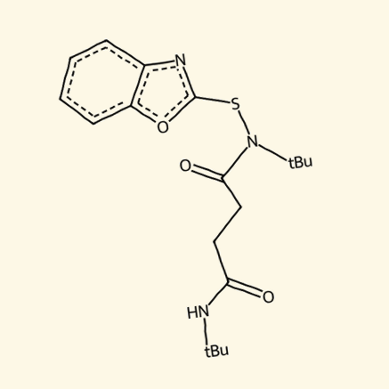 CC(C)(C)NC(=O)CCC(=O)N(Sc1nc2ccccc2o1)C(C)(C)C